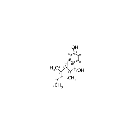 CCCC(C)NC(C)C(O)c1ccc(O)cc1